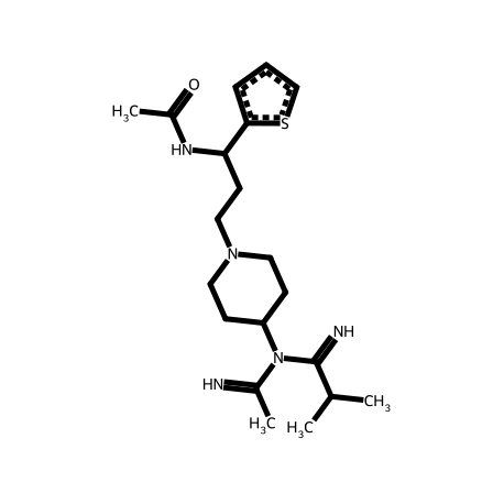 CC(=N)N(C(=N)C(C)C)C1CCN(CCC(NC(C)=O)c2cccs2)CC1